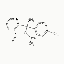 C=Cc1cccnc1C(N)(OC(=O)C(F)(F)F)c1ccc(C(F)(F)F)cc1